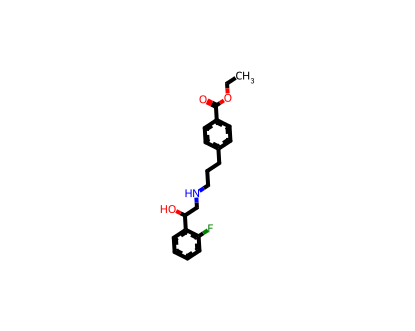 CCOC(=O)c1ccc(CCCNCC(O)c2ccccc2F)cc1